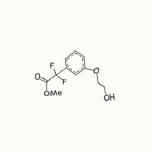 COC(=O)C(F)(F)c1cccc(OCCO)c1